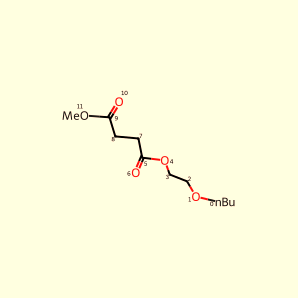 CCCCOCCOC(=O)CCC(=O)OC